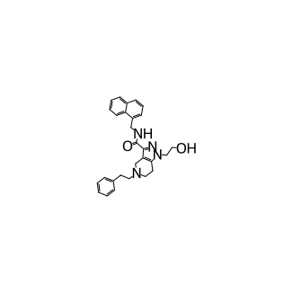 O=C(NCc1cccc2ccccc12)c1nn(CCO)c2c1CN(CCc1ccccc1)CC2